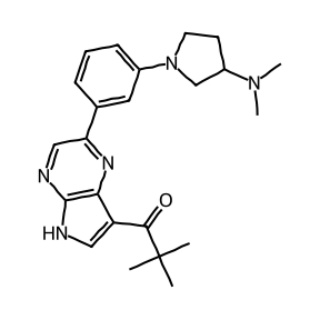 CN(C)C1CCN(c2cccc(-c3cnc4[nH]cc(C(=O)C(C)(C)C)c4n3)c2)C1